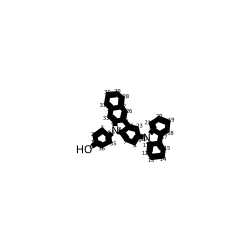 Oc1ccc(-n2c3ccc(-n4c5ccccc5c5ccccc54)cc3c3cc4ccccc4cc32)cc1